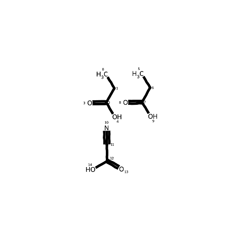 CCC(=O)O.CCC(=O)O.N#CC(=O)O